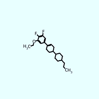 CCCC1CCC(C2CC=C(c3cc(F)c(F)c(OCC)c3)CC2)CC1